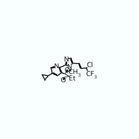 CCS(=O)(=O)c1cc(C2CC2)cnc1-c1ncc(C=CC(Cl)C(F)(F)F)n1C